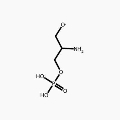 NC(C[O])COP(=O)(O)O